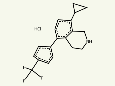 Cl.FC(F)(F)c1ccc(-c2ccc(C3CC3)c3c2CCNC3)cc1